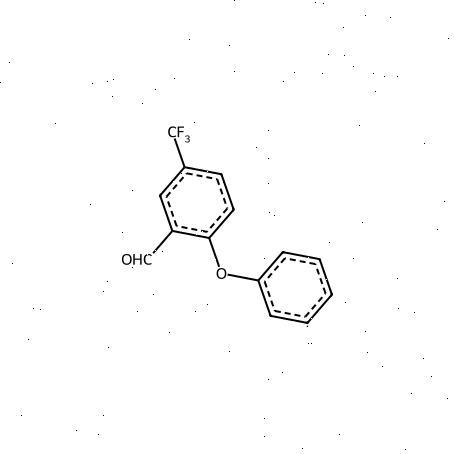 O=Cc1cc(C(F)(F)F)ccc1Oc1c[c]ccc1